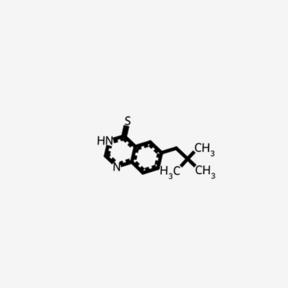 CC(C)(C)Cc1ccc2nc[nH]c(=S)c2c1